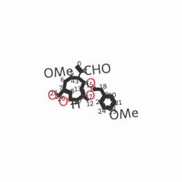 C=C(C=O)[C@@H]1[C@@H](OC)CC2=C[C@@H](C/C(C)=C/[C@H]1OC(=O)Cc1ccc(OC)cc1)OC2=O